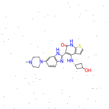 CN1CCN(c2ccc3nc(-c4c(N[C@H]5C[C@H](O)C5)c5ccsc5[nH]c4=O)[nH]c3c2)CC1